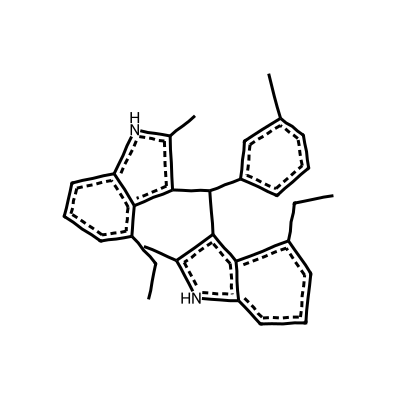 CCc1cccc2[nH]c(C)c(C(c3cccc(C)c3)c3c(C)[nH]c4cccc(CC)c34)c12